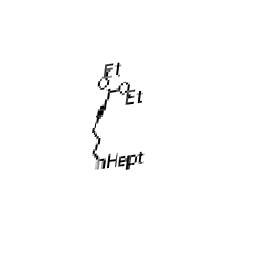 CCCCCCCCCCC#CC(OCC)OCC